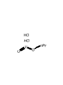 CCC[O][V]=[O].Cl.Cl